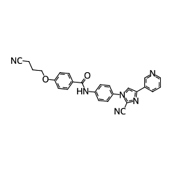 N#CCCCOc1ccc(C(=O)Nc2ccc(-n3cc(-c4cccnc4)nc3C#N)cc2)cc1